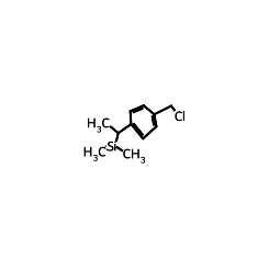 CC(c1ccc(CCl)cc1)[Si](C)C